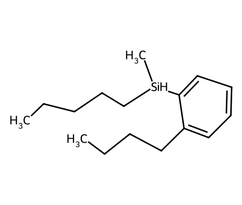 CCCCC[SiH](C)c1ccccc1CCCC